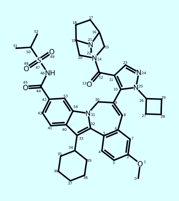 COc1ccc2c(c1)C=C(c1c(C(=O)N3CC4CCC(C3)N4C)cnn1C1CCC1)Cn1c-2c(C2CCCCC2)c2ccc(C(=O)NS(=O)(=O)C(C)C)cc21